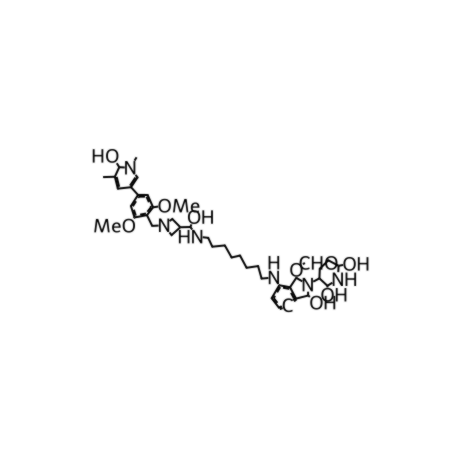 COc1cc(C2=CN(C)C(O)C(C)=C2)cc(OC)c1CN1CC(C(O)NCCCCCCCCNc2cccc3c2C(OC=O)N(C2CCC(O)NC2O)C3O)C1